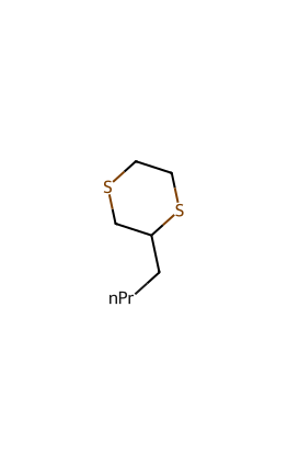 CCCCC1CSCCS1